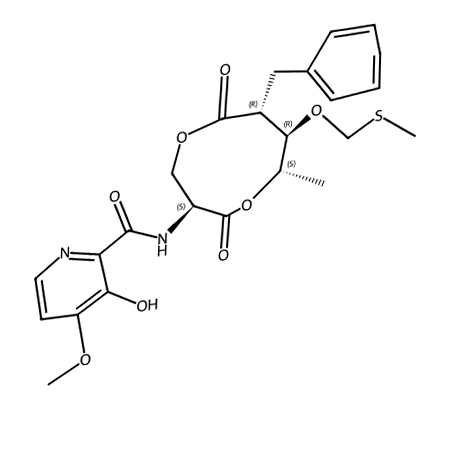 COc1ccnc(C(=O)N[C@H]2COC(=O)[C@H](Cc3ccccc3)[C@@H](OCSC)[C@H](C)OC2=O)c1O